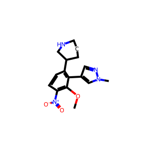 COc1c([N+](=O)[O-])ccc(C2CCCNC2)c1-c1cnn(C)c1